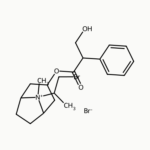 CC(CBr)[N+]1(C)C2CCC1CC(OC(=O)C(CO)c1ccccc1)C2.[Br-]